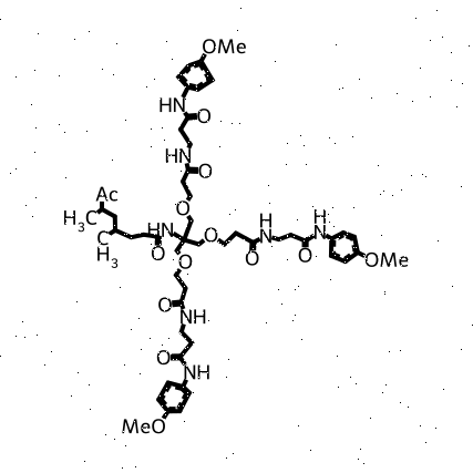 COc1ccc(NC(=O)CCNC(=O)CCOCC(COCCC(=O)NCCC(=O)Nc2ccc(OC)cc2)(COCCC(=O)NCCC(=O)Nc2ccc(OC)cc2)NC(=O)CCC(C)CC(C)C(C)=O)cc1